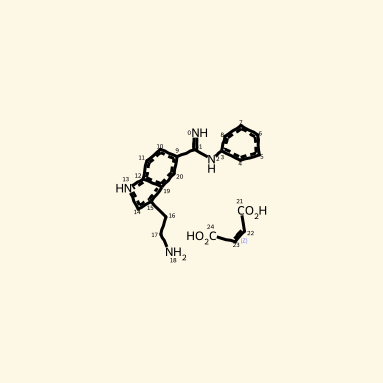 N=C(Nc1ccccc1)c1ccc2[nH]cc(CCN)c2c1.O=C(O)/C=C\C(=O)O